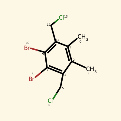 Cc1c(C)c(CCl)c(Br)c(Br)c1CCl